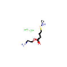 CCNSCCCC(=O)OCCN.Cl.Cl